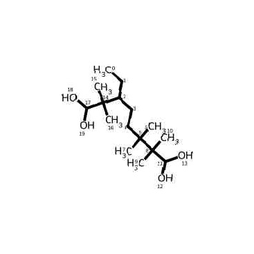 CCC(CCC(C)(C)C(C)(C)C(O)O)C(C)(C)C(O)O